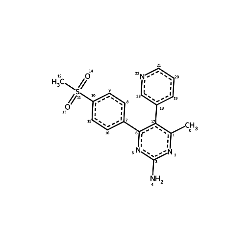 Cc1nc(N)nc(-c2ccc(S(C)(=O)=O)cc2)c1-c1cccnc1